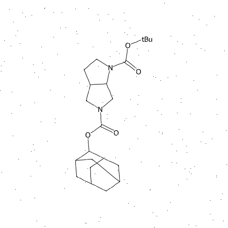 CC(C)(C)OC(=O)N1CCC2CN(C(=O)OC3C4CC5CC(C4)CC3C5)CC21